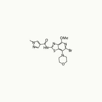 COc1nc(Br)c(N2CCOCC2)c2sc(NC(=O)c3cnn(C)c3)nc12